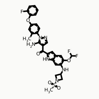 Cc1cc(Oc2ccccc2F)ccc1-n1ncc(C(=O)c2cc3cc(OC(F)F)c(NC4CN(S(C)(=O)=O)C4)cc3[nH]2)c1N